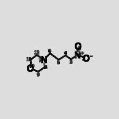 O=[N+]([O-])CCCCN1CCOCC1